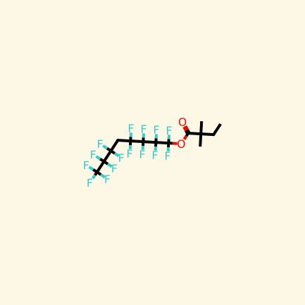 CCC(C)(C)C(=O)OC(F)(F)C(F)(F)C(F)(F)C(F)(F)CC(F)(F)C(F)(F)C(F)(F)F